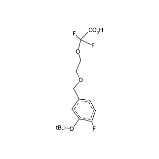 CC(C)(C)Oc1cc(COCCOC(F)(F)C(=O)O)ccc1F